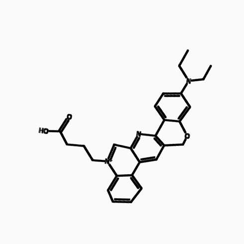 CCN(CC)c1ccc2c(c1)OCc1cc3c(c[n+](CCCC(=O)O)c4ccccc34)nc1-2